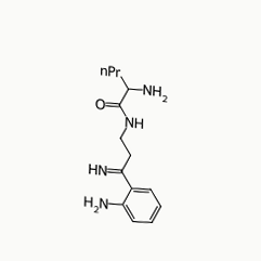 CCCC(N)C(=O)NCCC(=N)c1ccccc1N